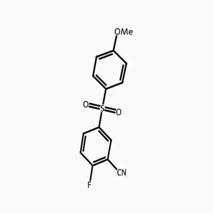 COc1ccc(S(=O)(=O)c2ccc(F)c(C#N)c2)cc1